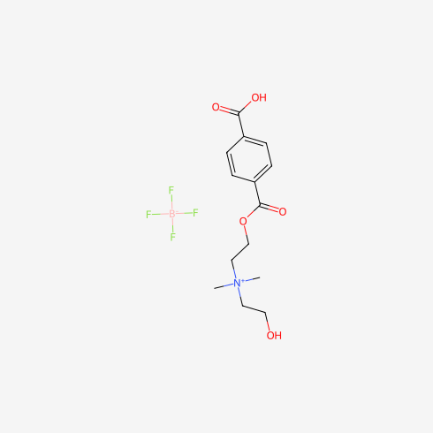 C[N+](C)(CCO)CCOC(=O)c1ccc(C(=O)O)cc1.F[B-](F)(F)F